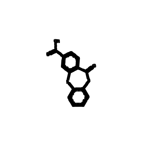 O=C(O)c1ccc2c(c1)Sc1ccccc1CC2=O